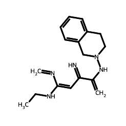 C=N/C(=C\C(=N)C(=C)NN1CCc2ccccc2C1)NCC